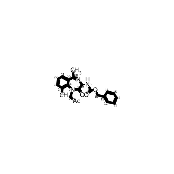 CC(=O)CN1C(=O)[C@@H](NC(=O)OCc2ccccc2)N=C(C)c2cccc(C)c21